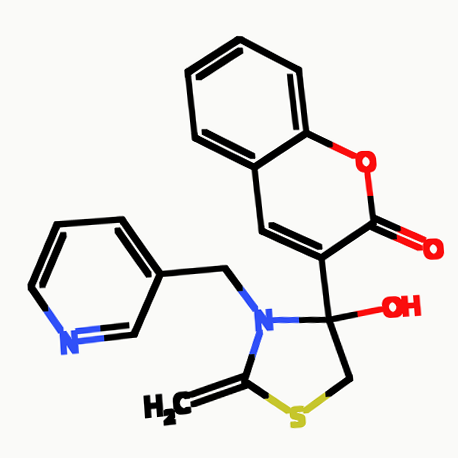 C=C1SCC(O)(c2cc3ccccc3oc2=O)N1Cc1cccnc1